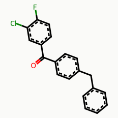 O=C(c1ccc(Cc2ccccc2)cc1)c1ccc(F)c(Cl)c1